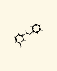 CN1C=CC=C(OCc2ccccc2)C1